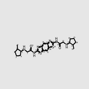 CC1CCCC1NCC(=O)Nc1nc2cc3nc(NC(=O)CNC4CCCC4C)sc3cc2s1